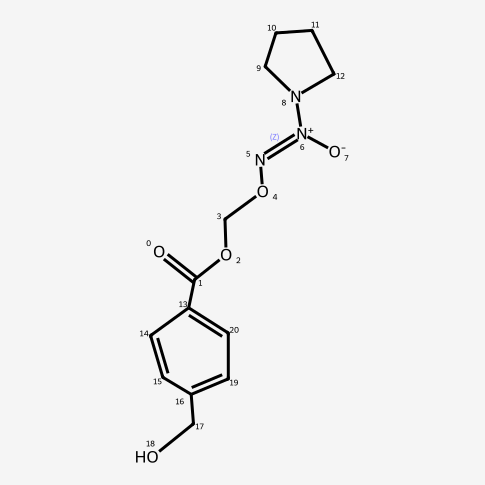 O=C(OCO/N=[N+](\[O-])N1CCCC1)c1ccc(CO)cc1